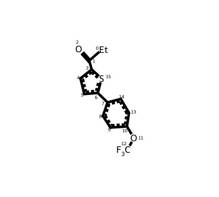 CCC(=O)c1ccc(-c2ccc(OC(F)(F)F)cc2)s1